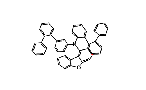 c1ccc(-c2ccccc2-c2cccc(N(c3ccccc3-c3ccccc3-c3ccccc3)c3cccc4oc5ccccc5c34)c2)cc1